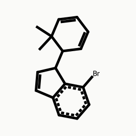 CC1(C)C=CC=CC1C1C=Cc2cccc(Br)c21